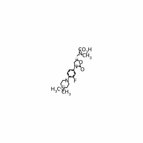 CN(C[C@H]1CN(c2ccc(N3CC[Si](C)(C)CC3)c(F)c2)C(=O)O1)C(=O)O